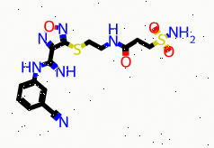 N#Cc1cccc(NC(=N)c2nonc2SCCNC(=O)CCS(N)(=O)=O)c1